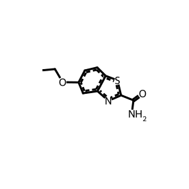 CCOc1ccc2sc(C(N)=O)nc2c1